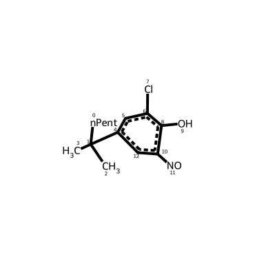 CCCCCC(C)(C)c1cc(Cl)c(O)c(N=O)c1